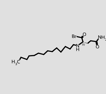 CCCCCCCCCCCCCCN[C@@H](CCC(N)=O)C(=O)Br